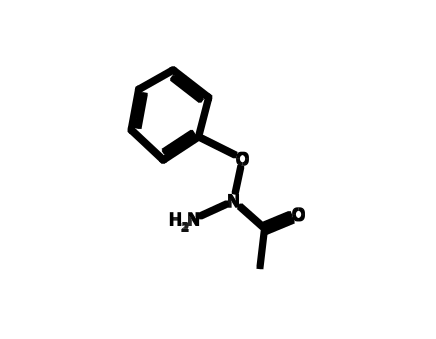 CC(=O)N(N)Oc1ccccc1